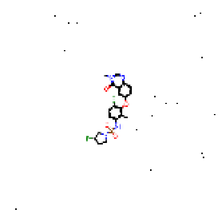 Cc1c(NS(=O)(=O)N2CC[C@@H](F)C2)ccc(F)c1Oc1ccc2ncn(C)c(=O)c2c1